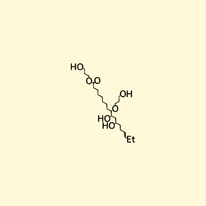 CC/C=C/CCC(O)CC(O)C(CCCCCCCC(=O)OCCCO)OCCCO